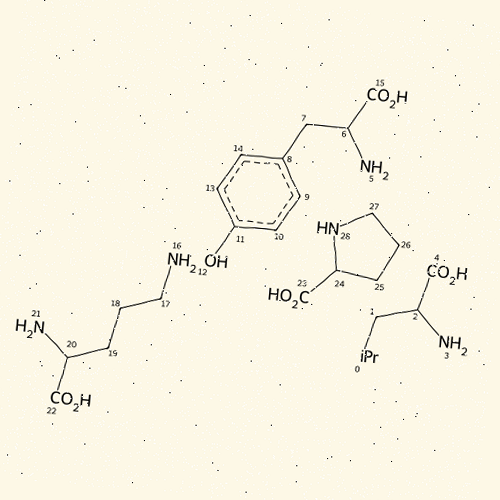 CC(C)CC(N)C(=O)O.NC(Cc1ccc(O)cc1)C(=O)O.NCCCC(N)C(=O)O.O=C(O)C1CCCN1